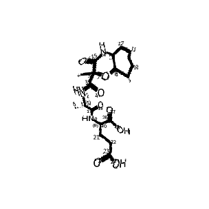 C[C@H](NC(=O)C1(C)OC2CCCCC2NC1=O)C(=O)N[C@H](CCC(=O)O)C(=O)O